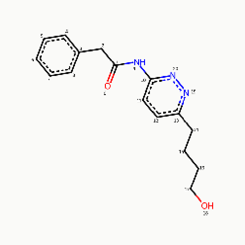 O=C(Cc1ccccc1)Nc1ccc(CCCCO)nn1